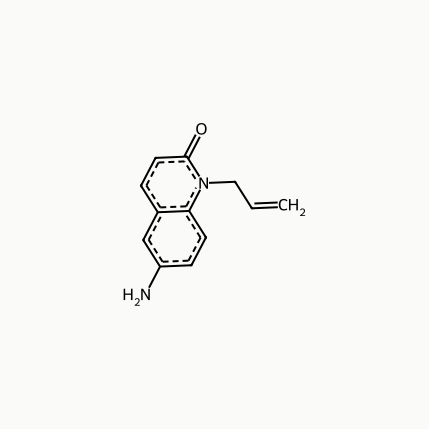 C=CCn1c(=O)ccc2cc(N)ccc21